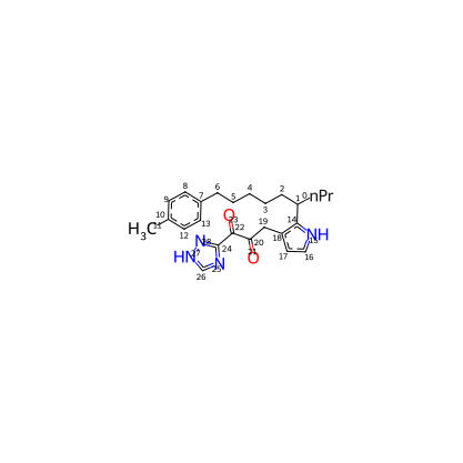 CCCC(CCCCCc1ccc(C)cc1)c1[nH]ccc1CC(=O)C(=O)c1nc[nH]n1